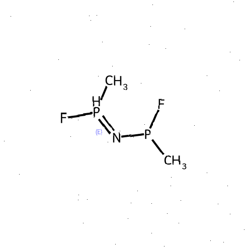 CP(F)/N=[PH](\C)F